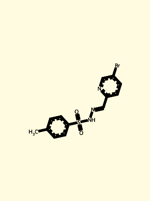 Cc1ccc(S(=O)(=O)NN=Cc2ccc(Br)cn2)cc1